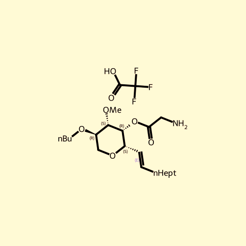 CCCCCCC/C=C/[C@@H]1OC[C@@H](OCCCC)[C@H](OC)[C@@H]1OC(=O)CN.O=C(O)C(F)(F)F